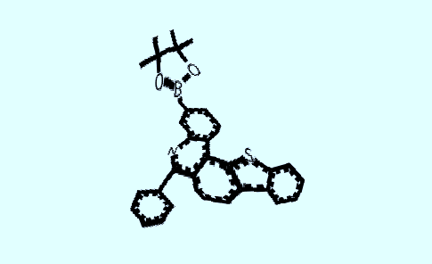 CC1(C)OB(c2ccc3c(c2)nc(-c2ccccc2)c2ccc4c5ccccc5sc4c23)OC1(C)C